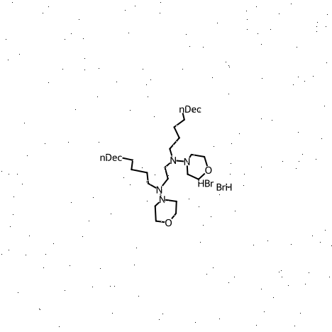 Br.Br.CCCCCCCCCCCCCCN(CCN(CCCCCCCCCCCCCC)N1CCOCC1)N1CCOCC1